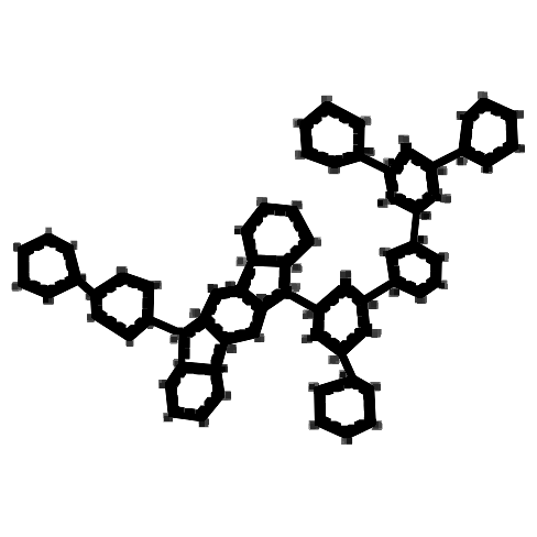 c1ccc(-c2ccc(-n3c4ccccc4c4cc5c(cc43)c3ccccc3n5-c3nc(-c4ccccc4)nc(-c4cccc(-c5nc(-c6ccccc6)nc(-c6ccccc6)n5)c4)n3)cc2)cc1